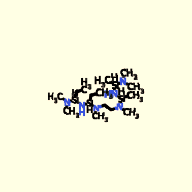 CC[SiH](N[SiH](CC)N(C)CCN(C)[SiH](C)N[SiH](C)N(C)C)N(C)C